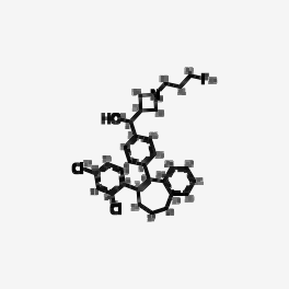 OC(c1ccc(C2=C(c3ccc(Cl)cc3Cl)CCCc3ccccc32)cc1)C1CN(CCCF)C1